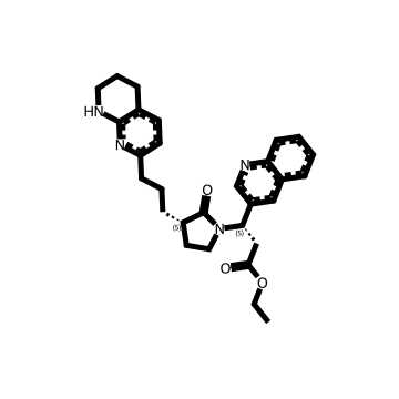 CCOC(=O)C[C@@H](c1cnc2ccccc2c1)N1CC[C@H](CCCc2ccc3c(n2)NCCC3)C1=O